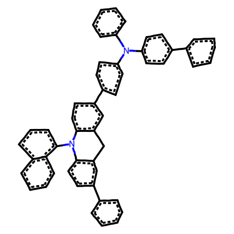 c1ccc(-c2ccc(N(c3ccccc3)c3ccc(-c4ccc5c(c4)Cc4cc(-c6ccccc6)ccc4N5c4cccc5ccccc45)cc3)cc2)cc1